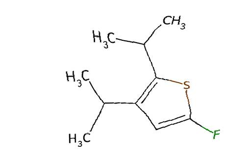 CC(C)c1cc(F)sc1C(C)C